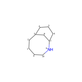 C1CCC2CCCC(C2)NC1